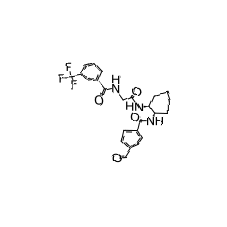 O=Cc1ccc(C(=O)N[C@@H]2CCCC[C@@H]2NC(=O)CNC(=O)c2cccc(C(F)(F)F)c2)cc1